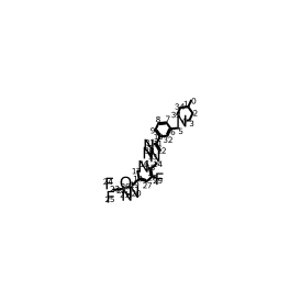 CC1CCN(Cc2cccc(-c3cn(Cc4ncc(-c5nnc(C(F)F)o5)cc4F)nn3)c2)CC1